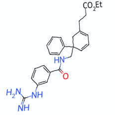 CCOC(=O)CCC1=CC=CC(CNC(=O)c2cccc(NC(=N)N)c2)(c2ccccc2)C1